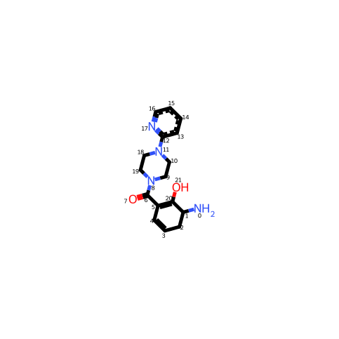 NC1CC=CC(C(=O)N2CCN(c3ccccn3)CC2)=C1O